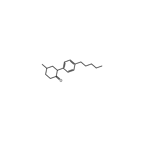 CCCCCc1ccc(C2CC(C)CCC2=O)cc1